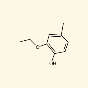 [CH2]c1ccc(O)c(OCC)c1